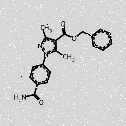 Cc1nn(-c2ccc(C(N)=O)cc2)c(C)c1C(=O)OCc1ccccc1